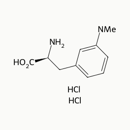 CNc1cccc(C[C@H](N)C(=O)O)c1.Cl.Cl